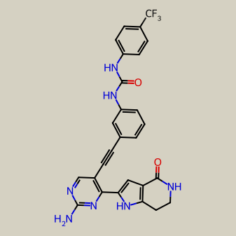 Nc1ncc(C#Cc2cccc(NC(=O)Nc3ccc(C(F)(F)F)cc3)c2)c(-c2cc3c([nH]2)CCNC3=O)n1